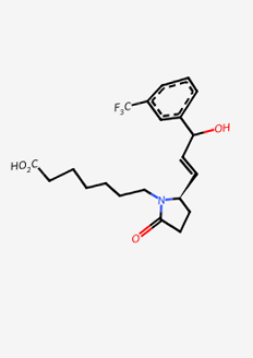 O=C(O)CCCCCCN1C(=O)CC[C@@H]1C=CC(O)c1cccc(C(F)(F)F)c1